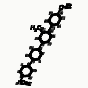 CCCCCCCCCCc1ccc(-c2ccc(-c3ccc(-c4ccc(OCC)cc4)c(C)c3)cc2)cc1